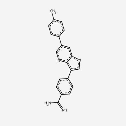 Cc1ccc(-c2cnc3c(-c4ccc(C(=N)N)cc4)cnn3c2)cc1